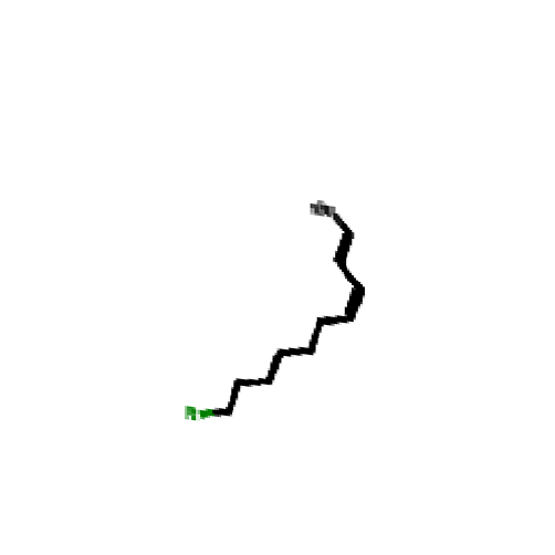 CCCC/C=C/C=C\CCCCCCBr